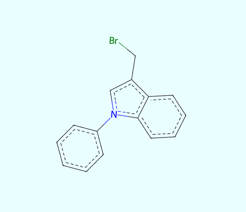 BrCc1cn(-c2ccccc2)c2ccccc12